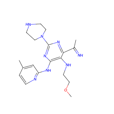 COCCNc1c(Nc2cc(C)ccn2)nc(N2CCNCC2)nc1C(C)=N